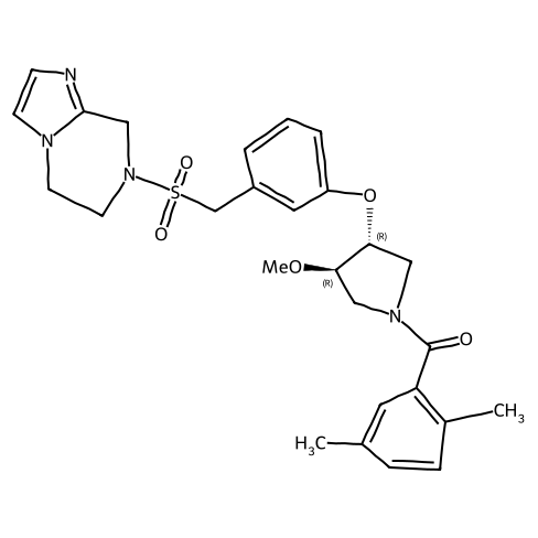 CO[C@@H]1CN(C(=O)c2cc(C)ccc2C)C[C@H]1Oc1cccc(CS(=O)(=O)N2CCn3ccnc3C2)c1